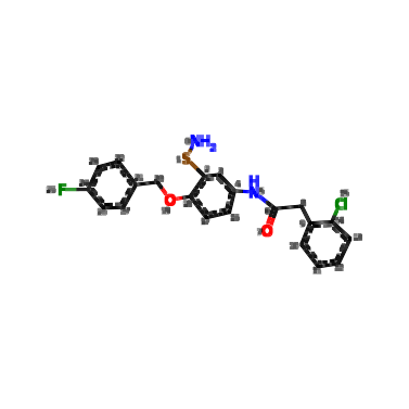 NSc1cc(NC(=O)Cc2ccccc2Cl)ccc1OCc1ccc(F)cc1